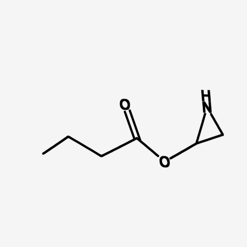 CCCC(=O)OC1CN1